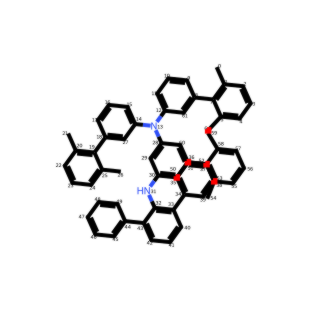 Cc1cccc(C)c1-c1cccc(N(c2cccc(-c3c(C)cccc3C)c2)c2cc(Nc3c(-c4ccccc4)cccc3-c3ccccc3)cc(-c3c(C)cccc3C)c2)c1